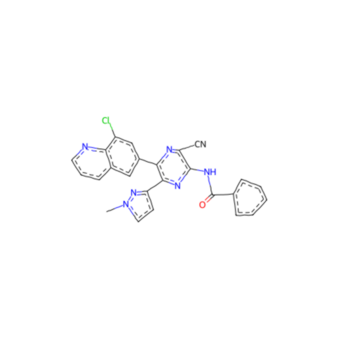 Cn1ccc(-c2nc(NC(=O)c3ccccc3)c(C#N)nc2-c2cc(Cl)c3ncccc3c2)n1